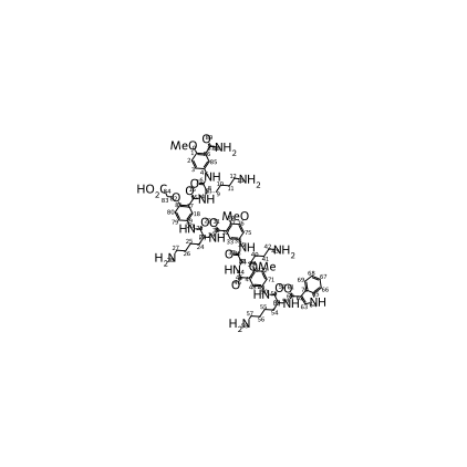 COc1ccc(NC(=O)[C@H](CCCCN)NC(=O)c2cc(NC(=O)[C@H](CCCCN)NC(=O)c3cc(NC(=O)[C@H](CCCCN)NC(=O)c4cc(NC(=O)[C@H](CCCCN)NC(=O)c5c[nH]c6ccccc56)ccc4OC)ccc3OC)ccc2OCC(=O)O)cc1C(N)=O